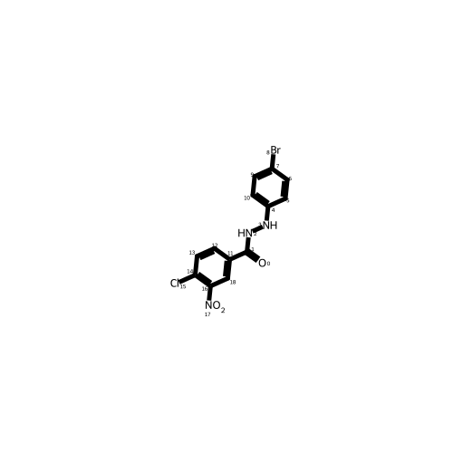 O=C(NNc1ccc(Br)cc1)c1ccc(Cl)c([N+](=O)[O-])c1